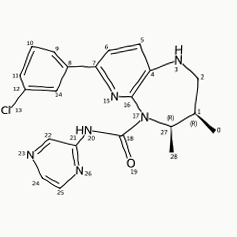 C[C@@H]1CNc2ccc(-c3cccc(Cl)c3)nc2N(C(=O)Nc2cnccn2)[C@@H]1C